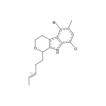 C/C=C/CC[C]1OCCc2c1[nH]c1c(Cl)cc(C)c(Br)c21